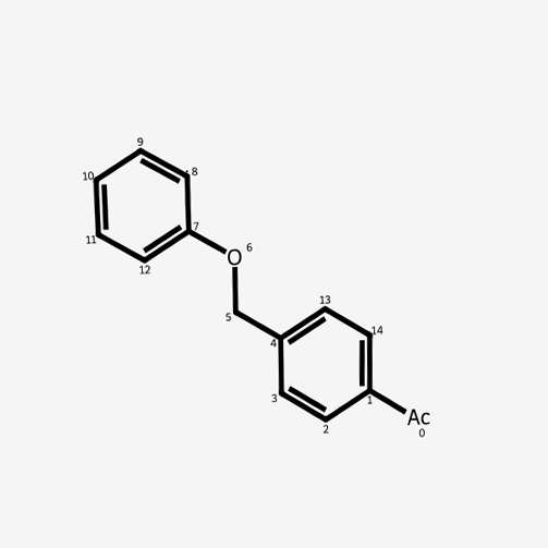 CC(=O)c1ccc(COc2[c]cccc2)cc1